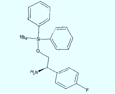 CC(C)(C)[Si](OC[C@H](N)c1ccc(F)cc1)(c1ccccc1)c1ccccc1